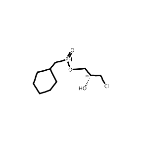 O=[PH](CC1CCCCC1)OC[C@@H](O)CCl